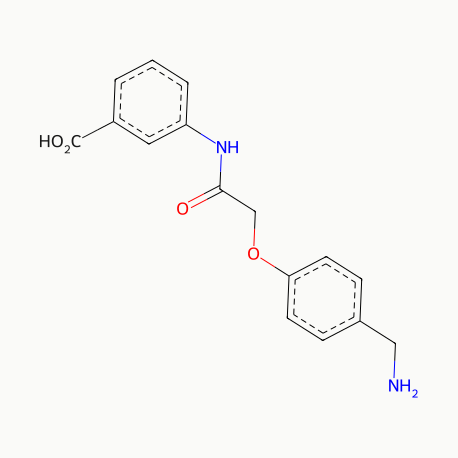 NCc1ccc(OCC(=O)Nc2cccc(C(=O)O)c2)cc1